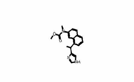 COC(=O)N(C)c1ccc2cccc(C(C)c3c[nH]cn3)c2c1